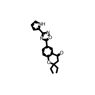 CCC1(CC)CC(=O)c2cc(-c3nc(-c4ccc[nH]4)no3)ccc2O1